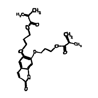 C=C(C)C(=O)OCCCOc1cc2ccc(=O)oc2cc1OCCCOC(=O)C(=C)C